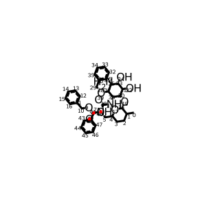 CC1CCC(CNC(=O)OCc2ccccc2)O[C@@H]1OC1C(O)[C@@H](O)[C@H](N)C(OCc2ccccc2)[C@@H]1NC(=O)OCc1ccccc1